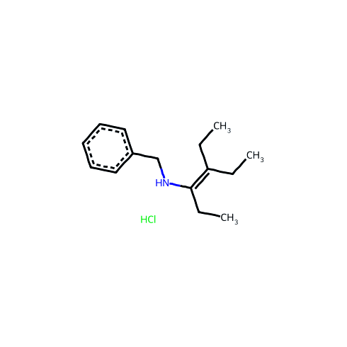 CCC(CC)=C(CC)NCc1ccccc1.Cl